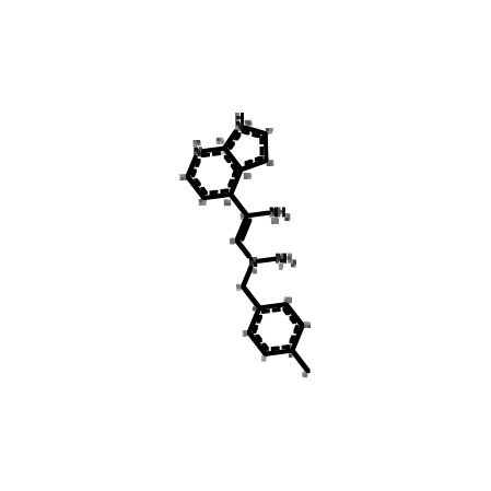 Cc1ccc(CN(N)/C=C(\N)c2ccnc3[nH]ccc23)cc1